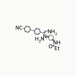 CCC(=O)N[C@H]1CC[C@@H](N(N)/C(=C\N)c2ccc(-c3ccc(C#N)cc3)cc2)C1